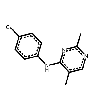 Cc1ncc(C)c(Nc2ccc(Cl)cc2)n1